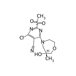 C[C@]1(O)COCCN(c2nc(S(C)(=O)=O)nc(Cl)c2C#N)C1